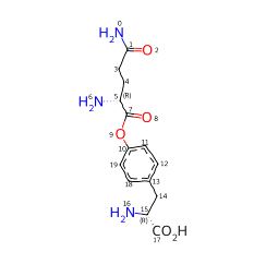 NC(=O)CC[C@@H](N)C(=O)Oc1ccc(C[C@@H](N)C(=O)O)cc1